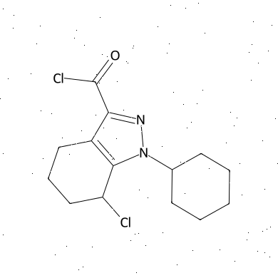 O=C(Cl)c1nn(C2CCCCC2)c2c1CCCC2Cl